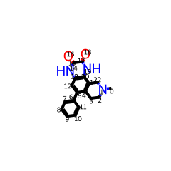 CN1CCc2c(-c3ccccc3)cc3[nH]c(=O)c(=O)[nH]c3c2C1